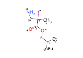 CCCCC(CC)COC(=O)C(C)(I)CN